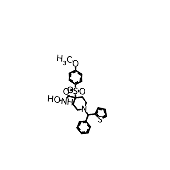 COc1ccc(S(=O)(=O)C2(C(=O)NO)CCN(C(c3ccccc3)c3cccs3)CC2)cc1